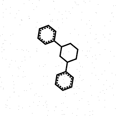 c1ccc(C2CCCC(c3ccccc3)C2)cc1